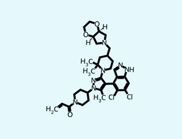 C=CC(=O)N1CCC(n2nc(N3CCC(CN4C[C@@H]5OCCO[C@@H]5C4)CC3(C)C)c(-c3c(Cl)c(Cl)cc4[nH]ncc34)c2C)CC1